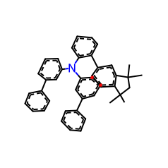 CC1(C)CC(C)(C)c2cc(-c3ccccc3N(c3cccc(-c4ccccc4)c3)c3cccc(-c4ccccc4)c3)ccc21